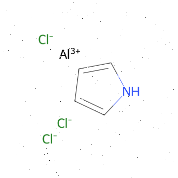 [Al+3].[Cl-].[Cl-].[Cl-].c1cc[nH]c1